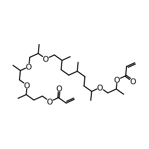 C=CC(=O)OCCC(C)OCC(C)OCC(C)OCC(C)CCC(C)CCC(C)OCC(C)OC(=O)C=C